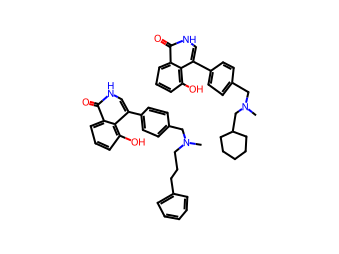 CN(CCCc1ccccc1)Cc1ccc(-c2c[nH]c(=O)c3cccc(O)c23)cc1.CN(Cc1ccc(-c2c[nH]c(=O)c3cccc(O)c23)cc1)CC1CCCCC1